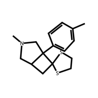 Cc1ccc(C23CN(C)CC2CC32SCCS2)cc1